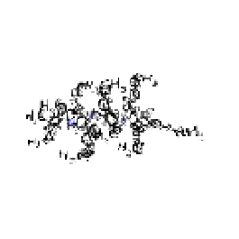 C=Cc1cc(OC)c(/C=C/c2cc(C(=O)OCCOC)c(/C=C/c3cc(OC)c(/C=C/c4cc(C(=O)OCCOC)c(-c5ccc(OCCCCN)cc5)cc4C(=O)OCCOC)cc3OCCOC)cc2C(=O)OCCOC)cc1OCCOC